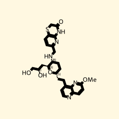 COc1ccc2nccc(CC[C@H]3CC[C@@H](NCc4ccc5c(n4)NC(=O)CS5)[C@H](C[C@H](O)CO)O3)c2n1